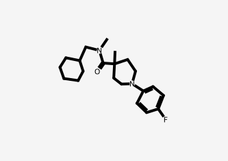 CN(CC1CCCCC1)C(=O)C1(C)CCN(c2ccc(F)cc2)CC1